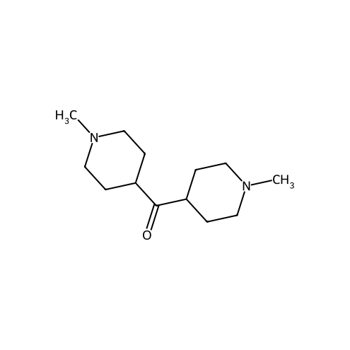 CN1CCC(C(=O)C2CCN(C)CC2)CC1